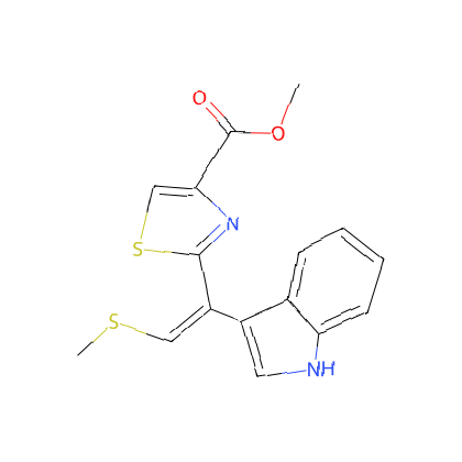 COC(=O)c1csc(C(=CSC)c2c[nH]c3ccccc23)n1